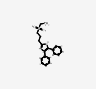 CCS(=O)(=O)CCCC1=NC(c2ccccc2)=C(c2ccccc2)[N]1